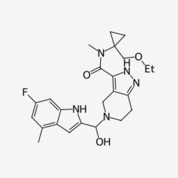 CCOCC1(N(C)C(=O)c2[nH]nc3c2CN(C(O)c2cc4c(C)cc(F)cc4[nH]2)CC3)CC1